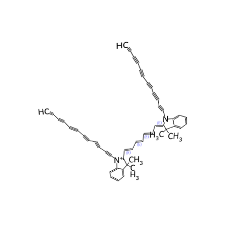 C#CC#CC#CC#CC#CC#CN1/C(=C/C=C/C=C/C=C/C2=[N+](C#CC#CC#CC#CC#CC#C)c3ccccc3C2(C)C)C(C)(C)c2ccccc21